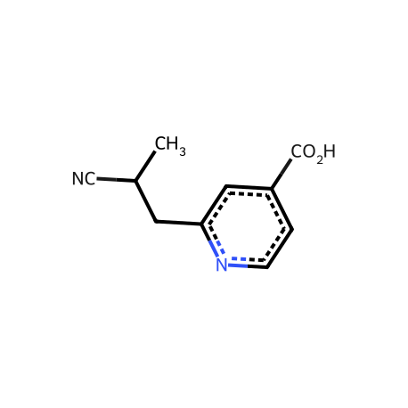 CC(C#N)Cc1cc(C(=O)O)ccn1